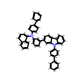 c1ccc(-c2ccc(N(c3cccc(-c4ccc5c6ccccc6n(-c6ccc(-c7ccccc7)cc6)c5c4)c3)c3cccc4ccccc34)cc2)cc1